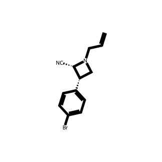 C=CCN1C[C@H](c2ccc(Br)cc2)[C@@H]1C#N